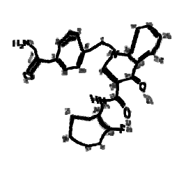 NC(=O)c1ccc(Cn2cc(C(=O)NC3CCCCC3F)c(=O)c3ccccc32)cc1